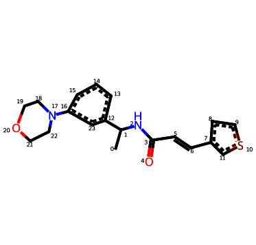 CC(NC(=O)C=Cc1ccsc1)c1cccc(N2CCOCC2)c1